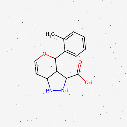 Cc1ccccc1C1OC=CC2NNC(C(=O)O)C21